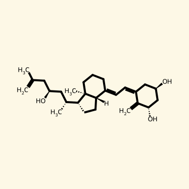 C=C(C)C[C@H](O)C[C@@H](C)[C@H]1CC[C@H]2/C(=C/C=C3/C[C@@H](O)C[C@H](O)C3=C)CCC[C@]12C